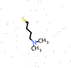 CN(C)CCCC=S